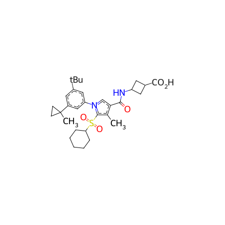 Cc1c(C(=O)NC2CC(C(=O)O)C2)cn(-c2cc(C(C)(C)C)cc(C3(C)CC3)c2)c1S(=O)(=O)C1CCCCC1